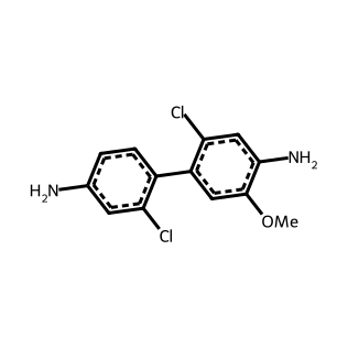 COc1cc(-c2ccc(N)cc2Cl)c(Cl)cc1N